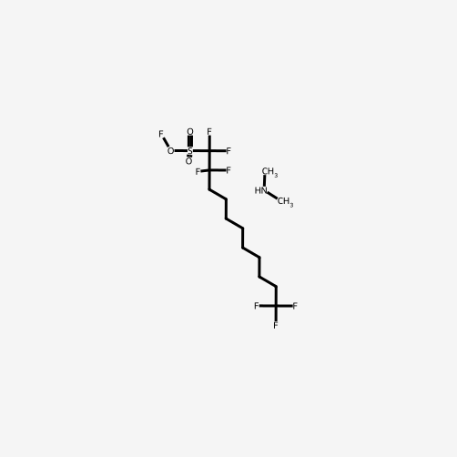 CNC.O=S(=O)(OF)C(F)(F)C(F)(F)CCCCCCCCC(F)(F)F